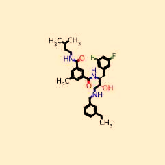 CCc1cccc(CNC[C@@H](O)[C@H](Cc2cc(F)cc(F)c2)NC(=O)c2cc(C)cc(C(=O)NCCC(C)C)c2)c1